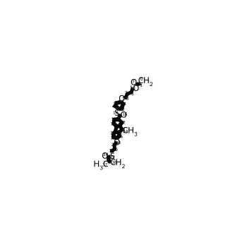 C=CC(=O)OCCCCOc1ccc(SC(=O)c2ccc3c(c2)C(C)c2cc(OCCCSC(=O)C(=C)C)ccc2-3)cc1